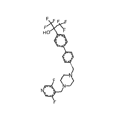 OC(c1ccc(-c2ccc(CN3CCN(Cc4c(F)cncc4F)CC3)cc2)cc1)(C(F)(F)F)C(F)(F)F